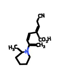 C=C(/C=C\C(=C/CC#N)C(=O)O)N1CCCCC1C